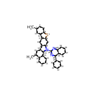 Cc1ccc2sc3cc4c(cc3c2c1)c1cc(C)c2ccccc2c1n4-c1nc(-c2ccccc2)c2ccccc2n1